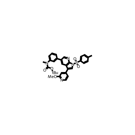 COc1cc(-c2cn(S(=O)(=O)c3ccc(C)cc3)c3ncc(-c4cccc(N(C)C(=O)OC(C)(C)C)c4)cc23)ccn1